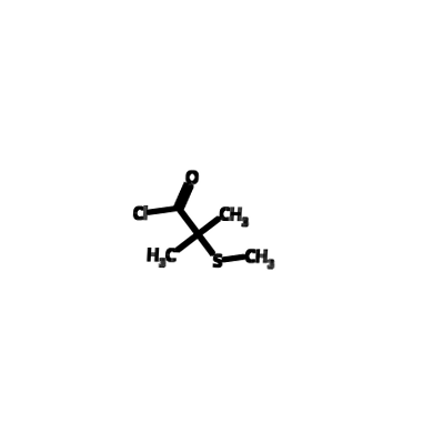 CSC(C)(C)C(=O)Cl